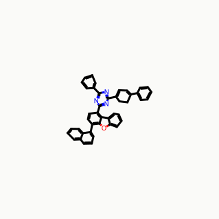 C1=C(c2ccccc2)CCC(c2nc(-c3ccccc3)nc(-c3ccc(-c4cccc5ccccc45)c4oc5ccccc5c34)n2)=C1